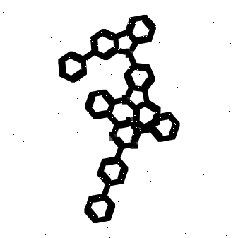 c1ccc(-c2ccc(-c3nc(-c4ccccc4)nc(-c4ccccc4-n4c5ccccc5c5ccc(-n6c7ccccc7c7ccc(-c8ccccc8)cc76)cc54)n3)cc2)cc1